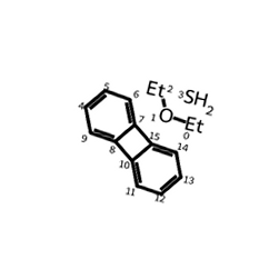 CCOCC.S.c1ccc2c(c1)-c1ccccc1-2